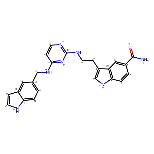 NC(=O)c1ccc2[nH]cc(CCNc3nccc(NCc4ccc5[nH]ccc5c4)n3)c2c1